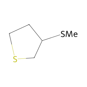 [CH2]SC1CCSC1